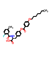 CCCCCCCOc1ccc(C(=O)Oc2ccc(C[C@H](NC(=O)c3cc(C)ccc3F)C(=O)O)cc2)cc1